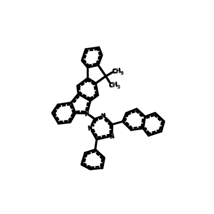 CC1(C)c2ccccc2-c2cc3c4ccccc4n(-c4nc(-c5ccccc5)nc(-c5ccc6ccccc6c5)n4)c3cc21